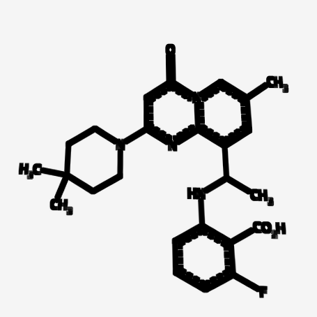 Cc1cc(C(C)Nc2cccc(F)c2C(=O)O)c2nc(N3CCC(C)(C)CC3)cc(=O)n2c1